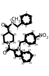 CN(Cc1ccccc1)C(=O)C1CCN(C(=O)c2cc3ccccc3n2Cc2ccc([N+](=O)[O-])cc2)CC1